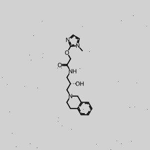 Cn1ccnc1OCC(=O)NC[C@H](O)CN1CCc2ccccc2C1